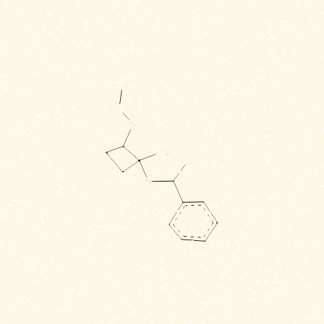 CC(NC1(C#N)CCC1NBC=O)c1ccccc1